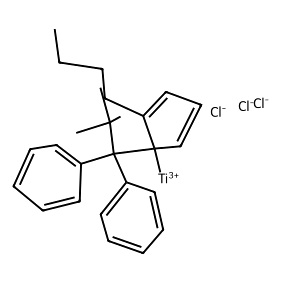 CCCCC1=CC=C[C]1([Ti+3])C(c1ccccc1)(c1ccccc1)C(C)(C)C.[Cl-].[Cl-].[Cl-]